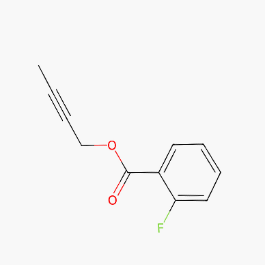 CC#CCOC(=O)c1ccccc1F